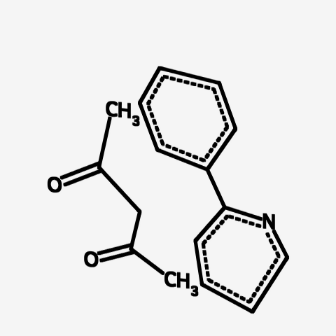 CC(=O)CC(C)=O.c1ccc(-c2ccccn2)cc1